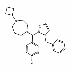 Clc1ccc(C(c2nnnn2Cc2ccccc2)N2CCCN(C3CCC3)CC2)cn1